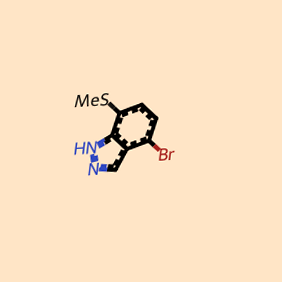 CSc1ccc(Br)c2cn[nH]c12